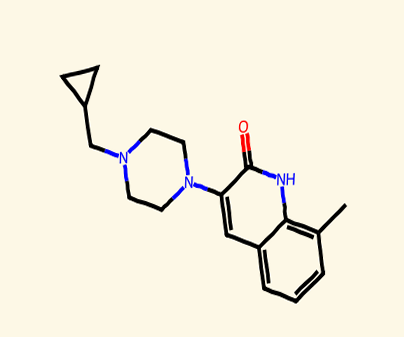 Cc1cccc2cc(N3CCN(CC4CC4)CC3)c(=O)[nH]c12